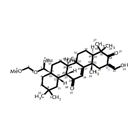 CCCCC(OCOC)[C@]12CCC(C)(C)C[C@H]1[C@H]1C(=O)C=C3[C@@]4(C)C/C(=C/O)C(=O)C(C)(C)[C@@H]4CC[C@@]3(C)[C@]1(C)CC2